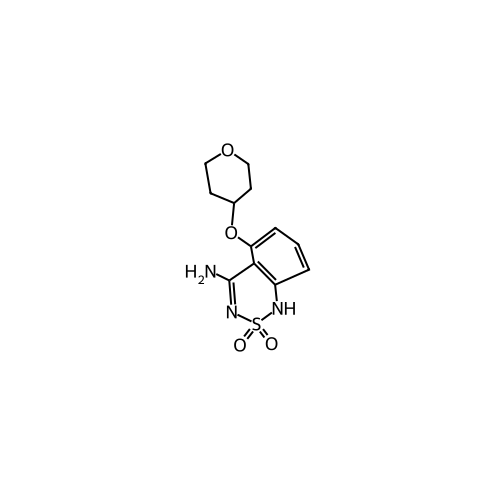 NC1=NS(=O)(=O)Nc2cccc(OC3CCOCC3)c21